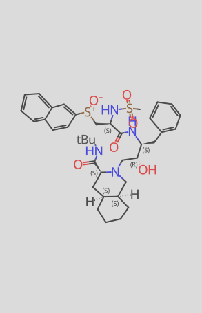 CC(C)(C)NC(=O)[C@@H]1C[C@@H]2CCCC[C@@H]2CN1C[C@@H](O)[C@H](Cc1ccccc1)NC(=O)[C@@H](C[S+]([O-])c1ccc2ccccc2c1)NS(C)(=O)=O